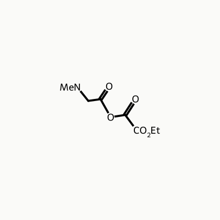 CCOC(=O)C(=O)OC(=O)CNC